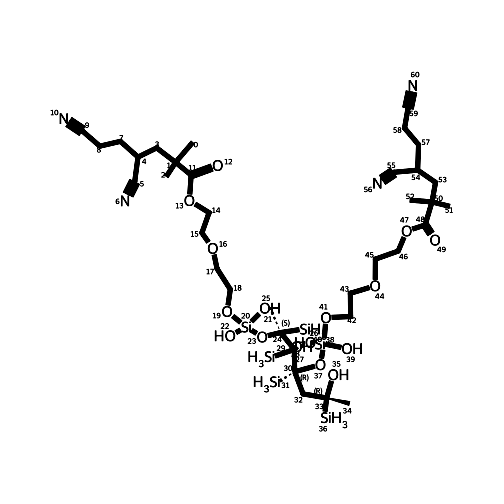 CC(C)(CC(C#N)CCC#N)C(=O)OCCOCCO[Si](O)(O)O[C@@](C)([SiH3])C(O)([SiH3])[C@]([SiH3])(C[C@](C)(O)[SiH3])O[Si](O)(O)OCCOCCOC(=O)C(C)(C)CC(C#N)CCC#N